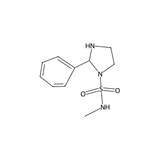 CNS(=O)(=O)N1CCNC1c1ccccc1